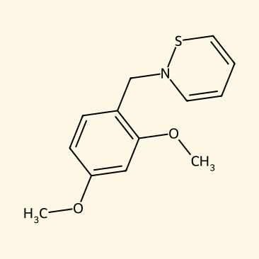 COc1ccc(CN2C=CC=CS2)c(OC)c1